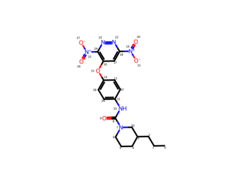 CCCC1CCCN(C(=O)Nc2ccc(Oc3cc([N+](=O)[O-])nnc3[N+](=O)[O-])cc2)C1